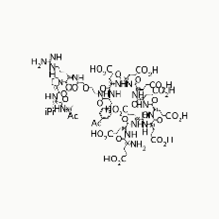 CC(=O)c1ccc(CC(NC(=O)[C@@H](CCC(=O)O)NC(=O)[C@@H](CCC(=O)O)NC(=O)[C@@H](CCC(=O)O)NC(=O)[C@@H](CCC(=O)O)NC(=O)[C@@H](CCC(=O)O)NC(=O)[C@@H](CCC(=O)O)NC(=O)[C@@H](CCC(=O)O)NC(=O)[C@@H](CCC(=O)O)NC(=O)[C@H](N)CCC(=O)O)C(=O)NCCOCC(=O)N[C@@H](CCCNC(=N)N)C(=O)N2CCC[C@H]2C(=O)N[C@@H](CC(C)C)C(=O)N[C@@H](C)C(C)=O)cc1